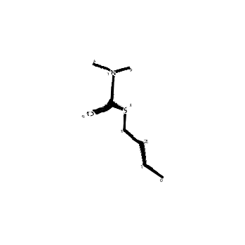 CCCCSC(=O)N(C)C